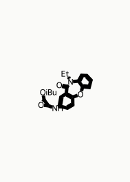 CCN1C(=O)c2cc(NC3OC3OCC(C)C)ccc2Oc2ccccc21